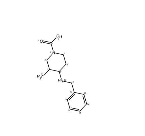 CC1CN(C(=O)O)CCC1NCc1ccccc1